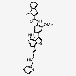 COc1cc(-c2csc3c(C=CCNCc4ccccn4)cnc(N)c23)ccc1NC(=O)c1cc2ccccc2n1C